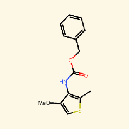 COc1csc(C)c1NC(=O)OCc1ccccc1